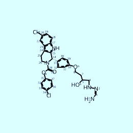 N/C=N\NCC(O)CCOc1ccc([C@H]2c3[nH]c4ccc(Cl)cc4c3CCN2C(=O)Oc2ccc(Cl)cc2)cc1